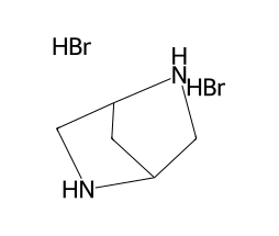 Br.Br.C1NC2CNC1C2